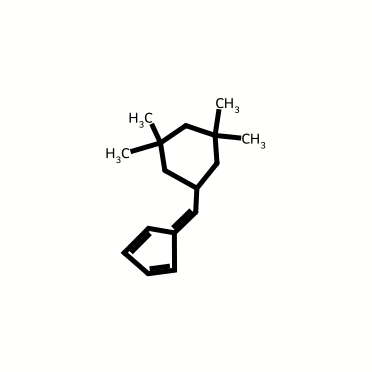 CC1(C)CC(C=C2C=CC=C2)CC(C)(C)C1